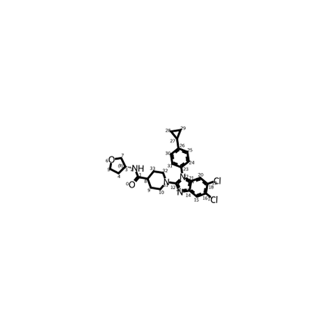 O=C(N[C@@H]1CCOC1)C1CCN(c2nc3cc(Cl)c(Cl)cc3n2-c2ccc(C3CC3)cc2)CC1